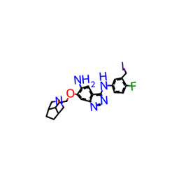 CN1CC2CCC(C1)C2CCOc1cc2ncnc(Nc3ccc(F)c(CI)c3)c2cc1N